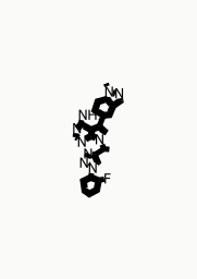 CC(c1cn(-c2ccccc2F)nn1)n1cc(-c2ccc3c(cnn3C)c2)c2c(N)ncnc21